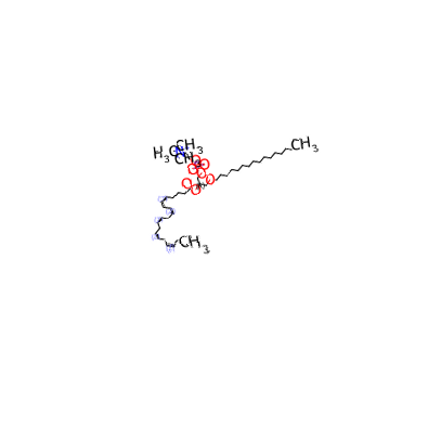 CC/C=C\C/C=C\C/C=C\C/C=C\C/C=C\CCCC(=O)O[C@H](COCCCCCCCCCCCCCCCC)COP(=O)([O-])OCC[N+](C)(C)C